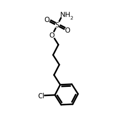 NS(=O)(=O)OCCCCc1ccccc1Cl